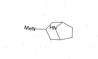 CNC1CC2CCC(C1)N2